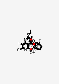 CCSc1nc(N2C[C@@]3(F)CC[C@@](F)([C@H]2CO)N3C(=O)OC(C)(C)C)c2c(Br)nc(Cl)c(F)c2n1